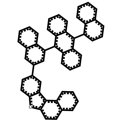 c1ccc2c(-c3c4ccccc4c(-c4cc(-c5ccc6oc7ccc8ccccc8c7c6c5)cc5ccccc45)c4ccccc34)cccc2c1